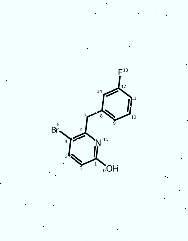 Oc1ccc(Br)c(Cc2cccc(F)c2)n1